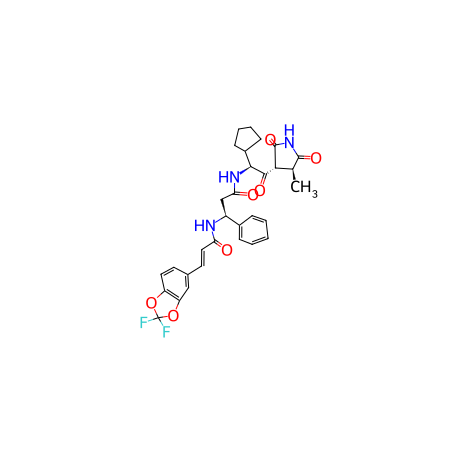 C[C@@H]1C(=O)NC(=O)[C@H]1C(=O)[C@@H](NC(=O)C[C@H](NC(=O)/C=C/c1ccc2c(c1)OC(F)(F)O2)c1ccccc1)C1CCCC1